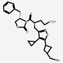 CC(C)(C)CC1CC(c2onc(C[C@H](CCC(=O)O)C(=O)N3C(=O)OC[C@@H]3Cc3ccccc3)c2C2CC2)C1